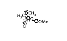 COc1ccc(COc2cc(-c3c(C)noc3C)nc(-c3nc(Cl)cs3)n2)cc1